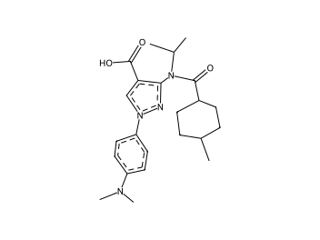 CC1CCC(C(=O)N(c2nn(-c3ccc(N(C)C)cc3)cc2C(=O)O)C(C)C)CC1